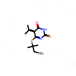 CC(C)=C1C(=O)NC(=S)N=C1SC(C)(C)CC(C)(C)C